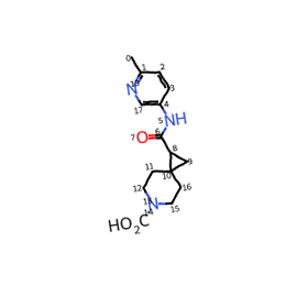 Cc1ccc(NC(=O)C2CC23CCN(C(=O)O)CC3)cn1